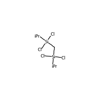 CC(C)[Si](Cl)(Cl)C[Si](Cl)(Cl)C(C)C